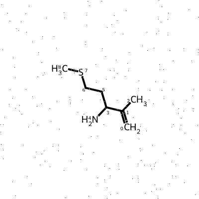 C=C(C)C(N)CCSC